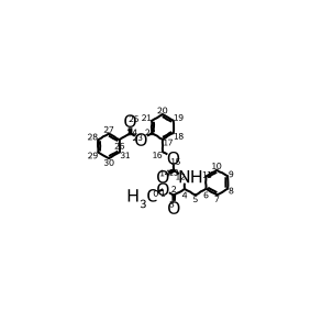 COC(=O)C(Cc1ccccc1)NC(=O)OCc1ccccc1OC(=O)c1ccccc1